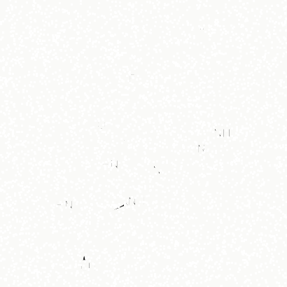 C[C@H]1CNC[C@@H](Nc2nc(-c3n[nH]c4ccc(-c5c(F)cccc5F)cc34)cc(=O)[nH]2)C1